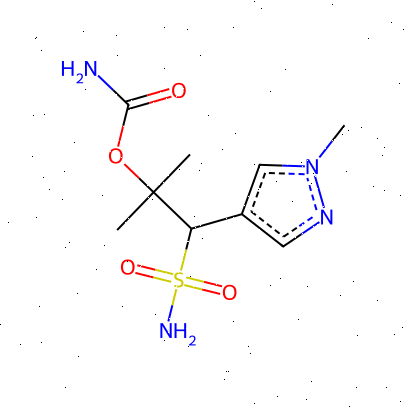 Cn1cc(C(C(C)(C)OC(N)=O)S(N)(=O)=O)cn1